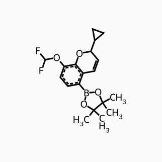 CC1(C)OB(c2ccc(OC(F)F)c3c2C=CC(C2CC2)O3)OC1(C)C